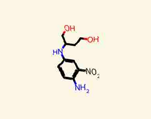 Nc1ccc(NC(CO)CCO)cc1[N+](=O)[O-]